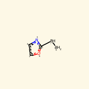 BBc1ncco1